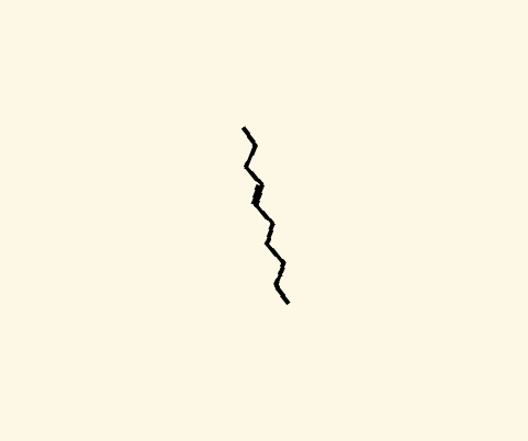 CCC/C=C/CCCCC